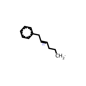 [CH2]CC/C=C/Cc1ccccc1